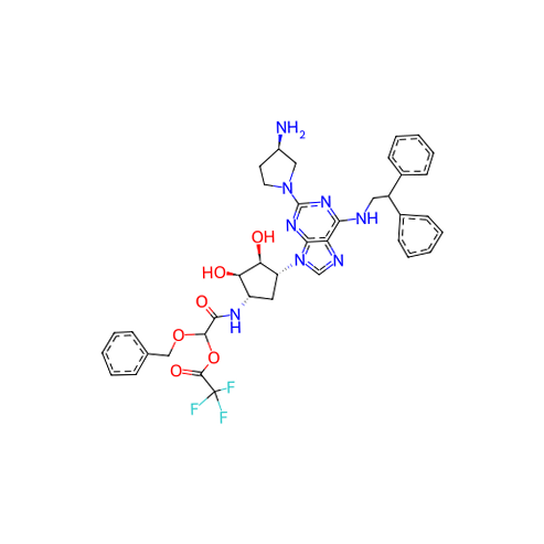 N[C@@H]1CCN(c2nc(NCC(c3ccccc3)c3ccccc3)c3ncn([C@@H]4C[C@H](NC(=O)C(OCc5ccccc5)OC(=O)C(F)(F)F)[C@@H](O)[C@H]4O)c3n2)C1